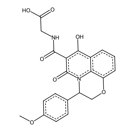 COc1ccc(C2COc3cccc4c(O)c(C(=O)NCC(=O)O)c(=O)n2c34)cc1